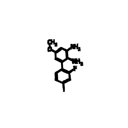 COc1cc(N)c(N)c(-c2ccc(I)cc2F)c1